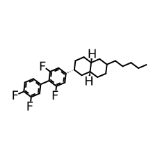 CCCCCC1CC[C@@H]2C[C@H](c3cc(F)c(-c4ccc(F)c(F)c4)c(F)c3)CC[C@@H]2C1